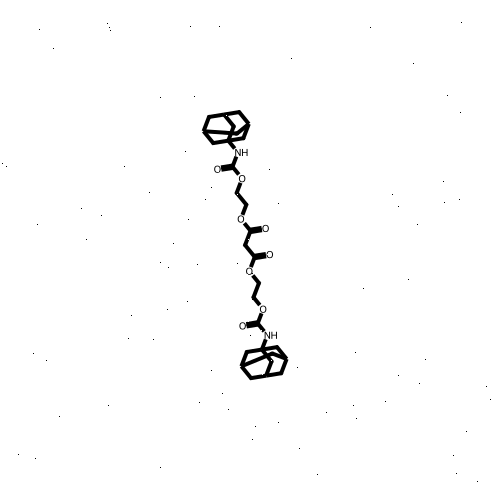 O=C(CC(=O)OCCOC(=O)NC12CC3CC(CC(C3)C1)C2)OCCOC(=O)NC12CC3CC(CC(C3)C1)C2